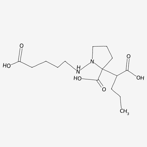 CCCC(C(=O)O)C1(C(=O)O)CCCN1NCCCCC(=O)O